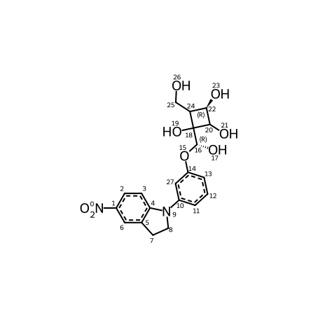 O=[N+]([O-])c1ccc2c(c1)CCN2c1cccc(O[C@@H](O)C2(O)C(O)[C@H](O)C2CO)c1